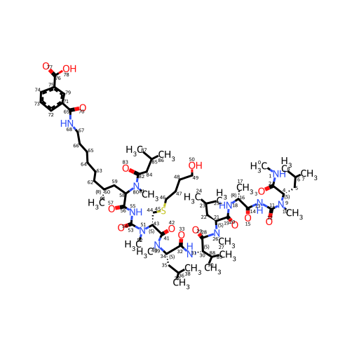 CNC(=O)[C@H](CC(C)C)N(C)C(=O)NC(=O)[C@@H](C)NC(=O)[C@H](CC(C)C)N(C)C(=O)[C@@H](NC(=O)[C@H](CC(C)C)N(C)C(=O)[C@@H](CSCCCCO)N(C)C(=O)NC(=O)C(C[C@H](C)CCCCCCNC(=O)c1cccc(C(=O)O)c1)N(C)C(=O)CC(C)C)C(C)C